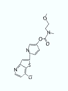 COCCN(C)C(=O)Oc1ccc(-c2cc3nccc(Cl)c3s2)nc1